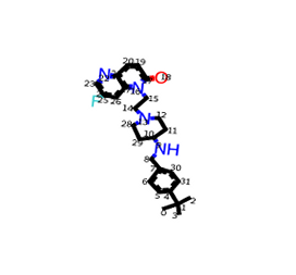 CC(C)(C)c1ccc(CNC2CCN(CCn3c(=O)ccc4ncc(F)cc43)CC2)cc1